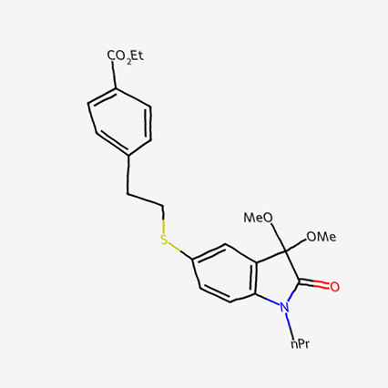 CCCN1C(=O)C(OC)(OC)c2cc(SCCc3ccc(C(=O)OCC)cc3)ccc21